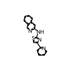 c1ccc(-c2csc(Nc3cc4ccccc4cn3)n2)nc1